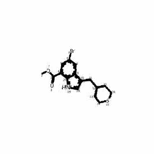 COC(=O)c1cc(Br)cc2c(CC3CCSCC3)c[nH]c12